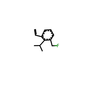 C=Cc1cccc(CF)c1C(C)C